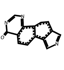 O=C1N=CN=c2c1ccc1c3c(ccc21)C=NC=3